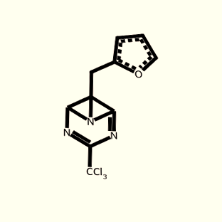 ClC(Cl)(Cl)C1=NC2N3C(=N1)C23Cc1ccco1